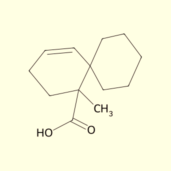 CC1(C(=O)O)CCC=CC12CCCCC2